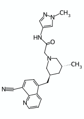 C[C@@H]1C[C@@H](Cc2ccc(C#N)c3ncccc23)CN(CC(=O)Nc2cnn(C)c2)C1